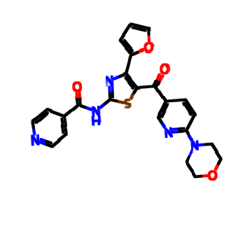 O=C(Nc1nc(-c2ccco2)c(C(=O)c2ccc(N3CCOCC3)nc2)s1)c1ccncc1